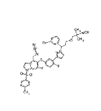 C#CC(C)(C)COCCC(c1cccc(Br)c1)n1ccc(-c2cc(Sc3c(F)cc4c(ccn4S(=O)(=O)c4ccc(C)cc4)c3CN=[N+]=[N-])ccc2F)n1